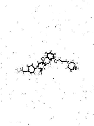 NCC1CCC(n2cc3c(nc2=O)Nc2c(OCCCN4CCNCC4)cccc2O3)CC1